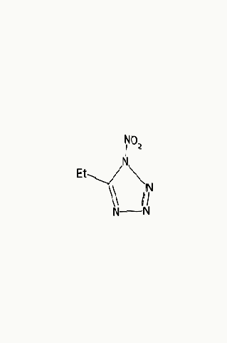 CCc1nnnn1[N+](=O)[O-]